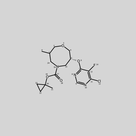 CC1COC[C@H](Oc2ncnc(Cl)c2F)CN(C(=O)OC2(C)CC2)C1